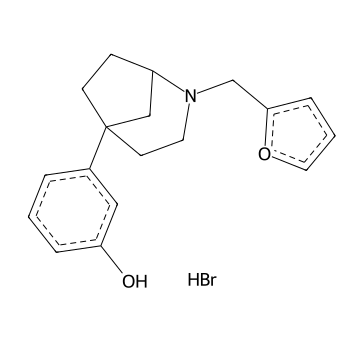 Br.Oc1cccc(C23CCC(C2)N(Cc2ccco2)CC3)c1